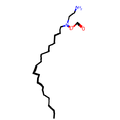 CCCCCCCC/C=C\CCCCCCCCN(CCN)OC=O